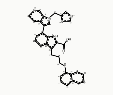 O=C(O)c1[nH]c2c(-c3cn(Cc4cncs4)c4cnccc34)cccc2c1CCCOc1cccc2ccccc12